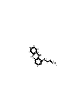 C=CCSc1cccc2c1Nc1ccccc1S2